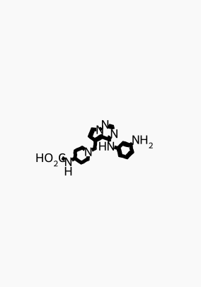 Nc1cccc(Nc2ncnn3ccc(CN4CCC(NC(=O)O)CC4)c23)c1